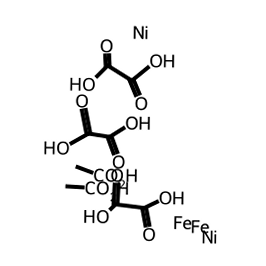 CC(=O)O.CC(=O)O.O=C(O)C(=O)O.O=C(O)C(=O)O.O=C(O)C(=O)O.[Fe].[Fe].[Ni].[Ni]